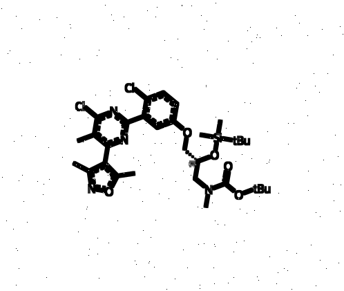 Cc1noc(C)c1-c1nc(-c2cc(OC[C@@H](CN(C)C(=O)OC(C)(C)C)O[Si](C)(C)C(C)(C)C)ccc2Cl)nc(Cl)c1C